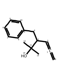 C=C=CC(Cc1ccccc1)C(C)(C)O